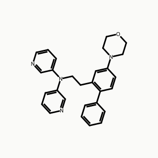 c1ccc(-c2ccc(N3CCOCC3)cc2CCN(c2cccnc2)c2cccnc2)cc1